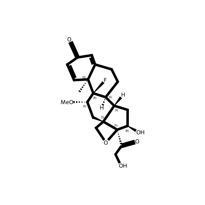 CO[C@H]1C[C@]23CO[C@]2(C(=O)CO)[C@H](O)C[C@H]3[C@@H]2CCC3=CC(=O)C=C[C@]3(C)[C@@]12F